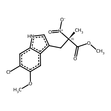 COC(=O)[C@](C)(Cc1c[nH]c2cc(Cl)c(OC)cc12)[N+](=O)[O-]